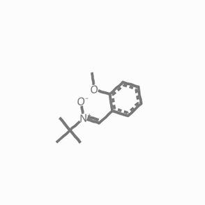 COc1ccccc1C=[N+]([O-])C(C)(C)C